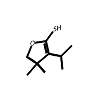 CC(C)C1=C(S)OCC1(C)C